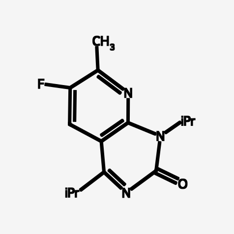 Cc1nc2c(cc1F)c(C(C)C)nc(=O)n2C(C)C